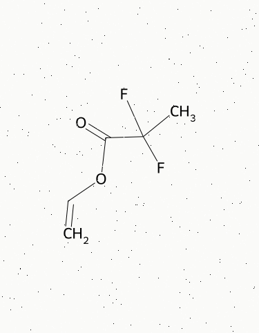 C=COC(=O)C(C)(F)F